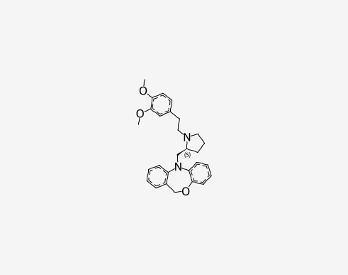 COc1ccc(CCN2CCC[C@H]2CN2c3ccccc3COc3ccccc32)cc1OC